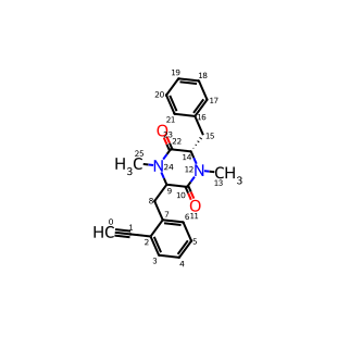 C#Cc1ccccc1CC1C(=O)N(C)[C@@H](Cc2ccccc2)C(=O)N1C